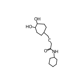 O=C(CCCC1CCC(O)C(O)CC1)NC1CCCCC1